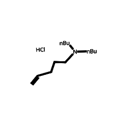 C=CCCCN(CCCC)CCCC.Cl